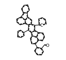 O=Cc1ccccc1-c1ccc2c3c(-c4ccccc4)c4c(cc5c6ccccc6c6cccc4c65)c(-c4ccccc4)c3c3cccc1c32